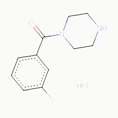 Cl.O=C(c1cccc(F)c1)N1CCNCC1